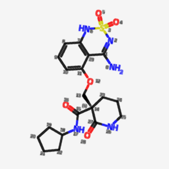 NC1=NS(=O)(=O)Nc2cccc(OC[C@@]3(C(=O)NC4CCCC4)CCCNC3=O)c21